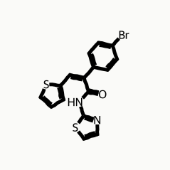 O=C(Nc1nccs1)C(=Cc1cccs1)c1ccc(Br)cc1